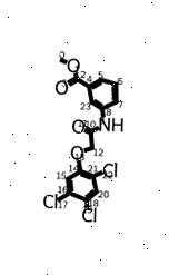 COC(=O)c1cccc(NC(=O)COc2cc(Cl)c(Cl)cc2Cl)c1